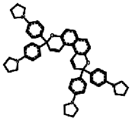 C1=CC(c2ccc(N3CCCC3)cc2)(c2ccc(N3CCCC3)cc2)Oc2ccc3ccc4c(c3c21)C=CC(c1ccc(N2CCCC2)cc1)(c1ccc(N2CCCC2)cc1)O4